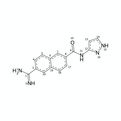 N=C(N)c1ccc2cc(C(=O)Nc3cc[nH]n3)ccc2c1